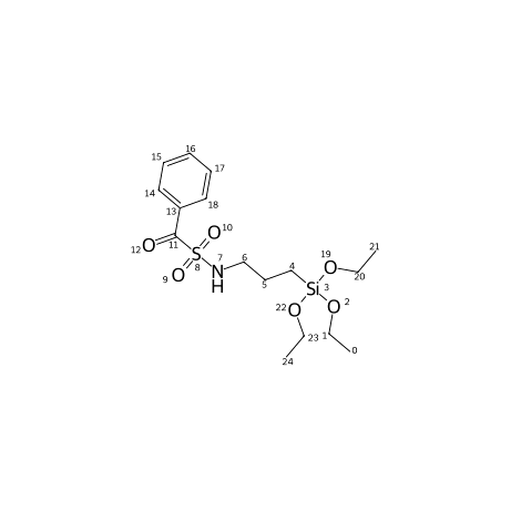 CCO[Si](CCCNS(=O)(=O)C(=O)c1ccccc1)(OCC)OCC